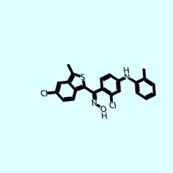 Cc1ccccc1Nc1ccc(C(=NO)c2sc(C)c3cc(Cl)ccc23)c(Cl)c1